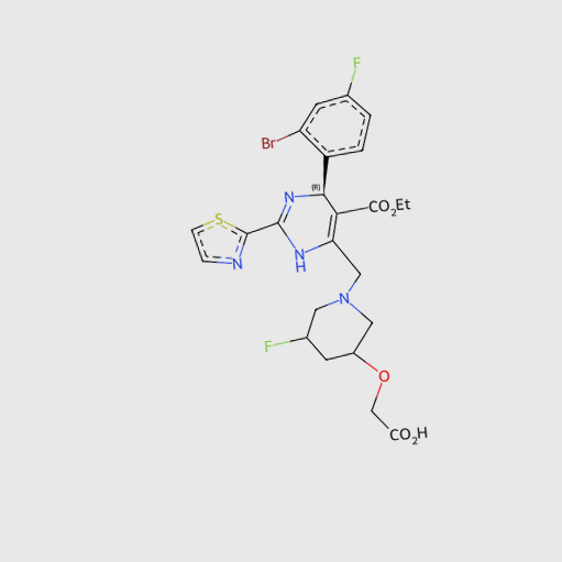 CCOC(=O)C1=C(CN2CC(F)CC(OCC(=O)O)C2)NC(c2nccs2)=N[C@H]1c1ccc(F)cc1Br